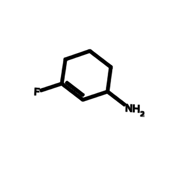 NC1C=C(F)CCC1